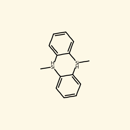 C[SiH]1c2ccccc2[SiH](C)c2ccccc21